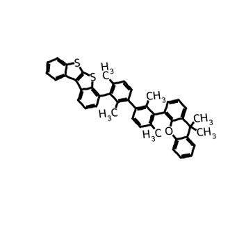 Cc1ccc(-c2ccc(C)c(-c3cccc4c3sc3sc5ccccc5c34)c2C)c(C)c1-c1cccc2c1Oc1ccccc1C2(C)C